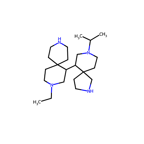 CCN1CCC2(CCNCC2)C(C2CN(C(C)C)CCC23CCNC3)C1